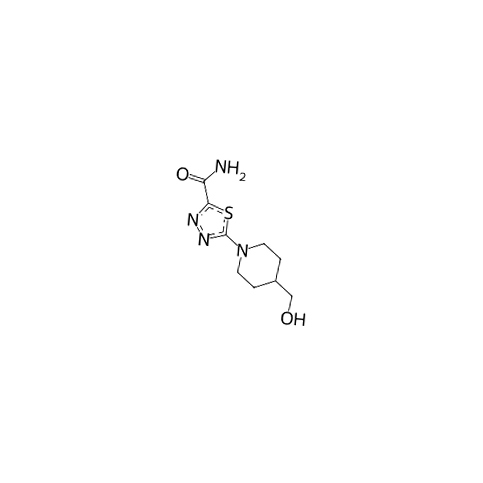 NC(=O)c1nnc(N2CCC(CO)CC2)s1